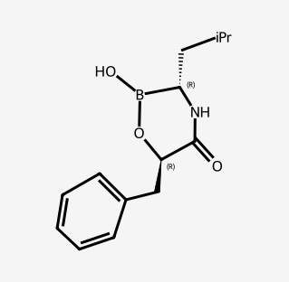 CC(C)C[C@@H]1NC(=O)[C@@H](Cc2ccccc2)OB1O